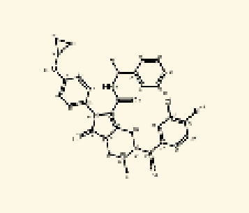 CC(NC(=O)c1c2n(c(=O)n1-c1ccc(OC3CC3)cc1)C[C@H](C)N(C(=O)c1ccc(Br)c(Cl)c1)C2)c1ccccc1